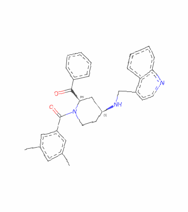 Cc1cc(C)cc(C(=O)N2CC[C@H](NCc3ccnc4ccccc34)C[C@@H]2C(=O)c2ccccc2)c1